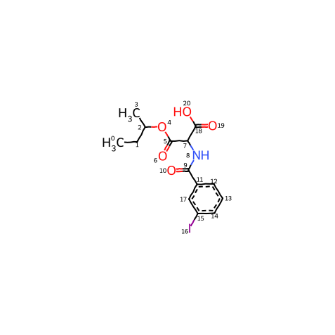 CCC(C)OC(=O)C(NC(=O)c1cccc(I)c1)C(=O)O